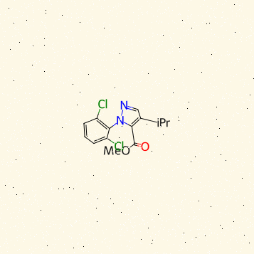 COC(=O)c1c(C(C)C)cnn1-c1c(Cl)cccc1Cl